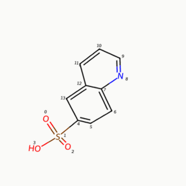 O=S(=O)(O)c1ccc2ncc[c]c2c1